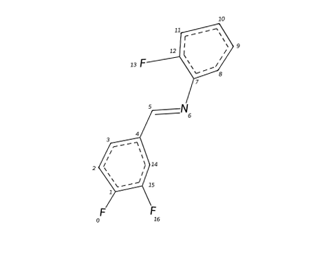 Fc1ccc(C=Nc2ccccc2F)cc1F